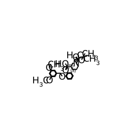 COc1cc(COc2cccc([C@H]3CCN(C(=O)OC(C)(C)C)C[C@@H]3C(=O)O)c2)cc(OC)c1